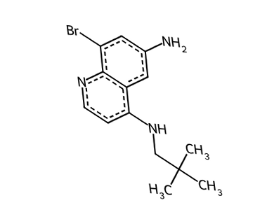 CC(C)(C)CNc1ccnc2c(Br)cc(N)cc12